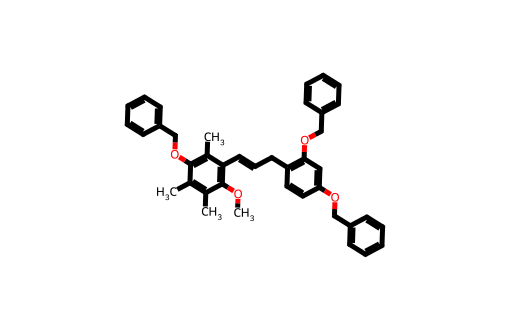 COc1c(C)c(C)c(OCc2ccccc2)c(C)c1C=CCc1ccc(OCc2ccccc2)cc1OCc1ccccc1